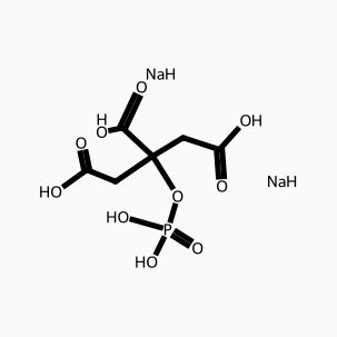 O=C(O)CC(CC(=O)O)(OP(=O)(O)O)C(=O)O.[NaH].[NaH]